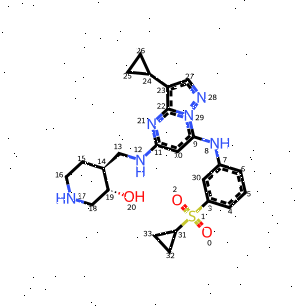 O=S(=O)(c1cccc(Nc2cc(NC[C@@H]3CCNC[C@H]3O)nc3c(C4CC4)cnn23)c1)C1CC1